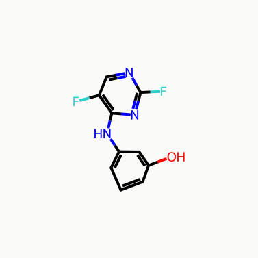 Oc1cccc(Nc2nc(F)ncc2F)c1